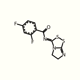 O=C(N=C1SSC2=NCCN21)c1ccc(F)cc1F